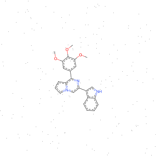 COc1cc(-c2nc(-c3c[nH]c4ccccc34)cn3cccc23)cc(OC)c1OC